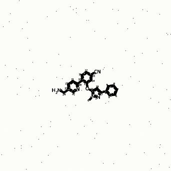 Cn1nc(-c2ccccc2)cc1Oc1cc(C#N)ccc1-c1ccc(CN)cn1